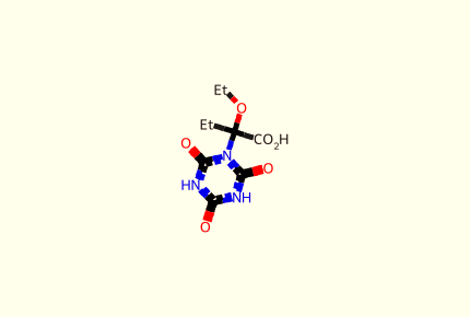 CCOC(CC)(C(=O)O)n1c(=O)[nH]c(=O)[nH]c1=O